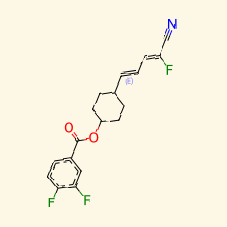 N#CC(F)=C/C=C/C1CCC(OC(=O)c2ccc(F)c(F)c2)CC1